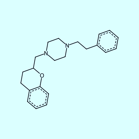 c1ccc(CCN2CCN(CC3CCc4ccccc4O3)CC2)cc1